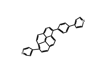 c1cc(-c2ccc(-c3ccc4ccc5c(-c6ccncc6)ccc6ccc3c4c65)cc2)ccn1